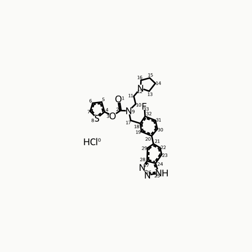 Cl.O=C(Oc1cccs1)N(CCN1CCCC1)Cc1cc(-c2ccc3[nH]nnc3c2)ccc1F